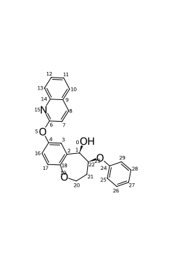 O[C@@H]1c2cc(Oc3ccc4ccccc4n3)ccc2OCC[C@@H]1Oc1ccccc1